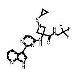 O=C(NCC(F)(F)F)C1(Nc2ccnc(-c3c[nH]c4ncccc34)n2)CN(SC2CC2)C1